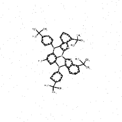 Cc1cc2c3c(c1)N(c1ccc(C(C)(C)C)cc1)c1c(oc4c(C(C)(C)C)cccc14)B3c1oc3c(C(C)(C)C)cccc3c1N2c1ccc(C(C)(C)C)cc1